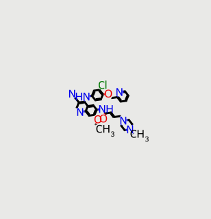 CCOc1cc2ncc(C#N)c(Nc3ccc(OCc4ccccn4)c(Cl)c3)c2cc1NC(=O)/C=C/CN1CCN(C)CC1